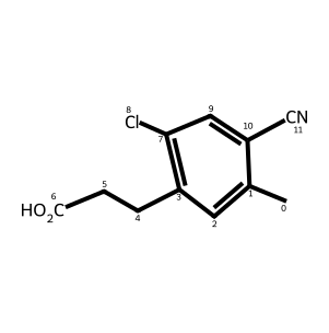 Cc1cc(CCC(=O)O)c(Cl)cc1C#N